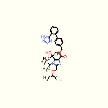 CC(C)OCc1nc(C(=O)OCc2ccc(-c3ccccc3-c3nnn[nH]3)cc2)c(C(C)(C)O)n1C(C)C